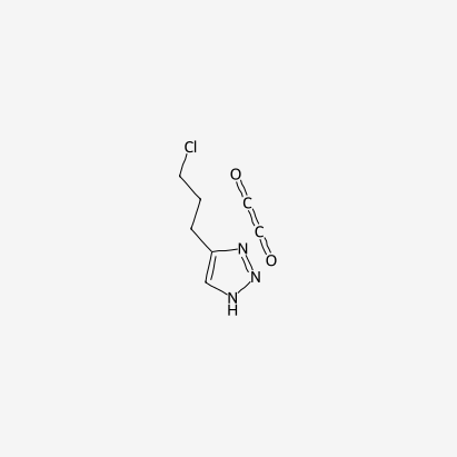 ClCCCc1c[nH]nn1.O=C=C=O